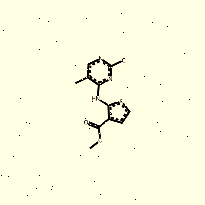 COC(=O)c1ccsc1Nc1nc(Cl)ncc1C